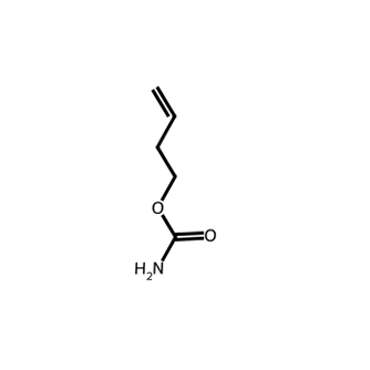 C=CCCOC(N)=O